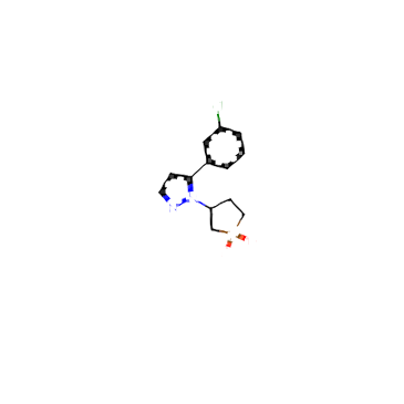 O=S1(=O)CCC(n2nccc2-c2cccc(Cl)c2)C1